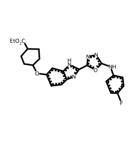 CCOC(=O)C1CCC(Oc2ccc3nc(-c4nnc(Nc5ccc(F)cc5)o4)[nH]c3c2)CC1